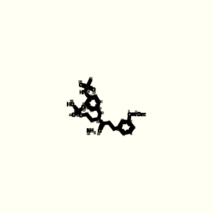 CCCCCCCCCCOc1cccc(CCC(=O)N(CCOP(=O)(O)O)Cc2ccc(NS(C)(=O)=O)cc2)c1.N